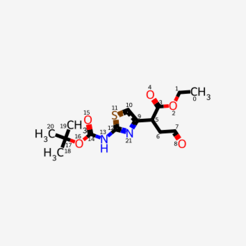 CCOC(=O)C(CC=O)c1csc(NC(=O)OC(C)(C)C)n1